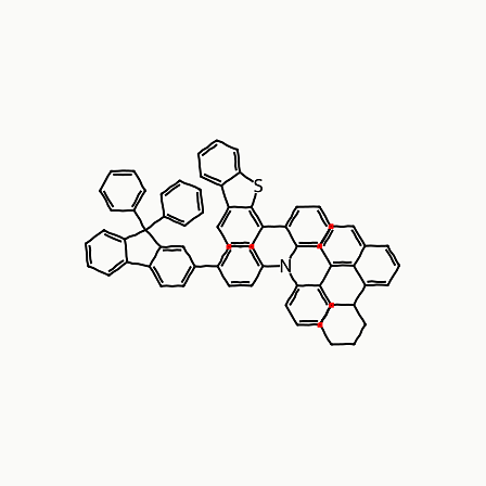 c1ccc(C2(c3ccccc3)c3ccccc3-c3ccc(-c4ccc(N(c5ccccc5-c5cccc6c5sc5ccccc56)c5ccccc5-c5cccc6cccc(C7CCCCC7)c56)cc4)cc32)cc1